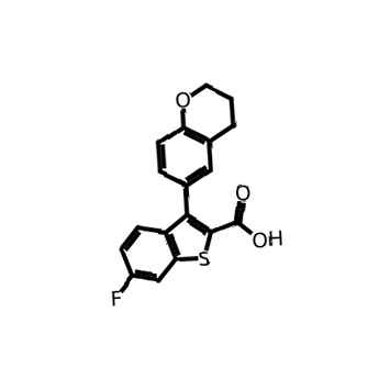 O=C(O)c1sc2cc(F)ccc2c1-c1ccc2c(c1)CCCO2